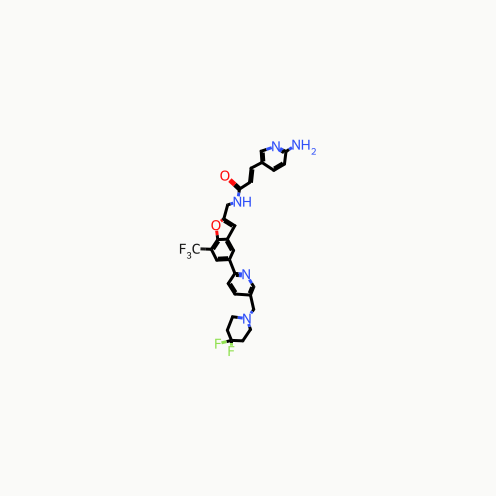 Nc1ccc(C=CC(=O)NCc2cc3cc(-c4ccc(CN5CCC(F)(F)CC5)cn4)cc(C(F)(F)F)c3o2)cn1